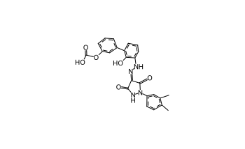 Cc1ccc(N2NC(=O)C(=NNc3cccc(-c4cccc(OC(=O)O)c4)c3O)C2=O)cc1C